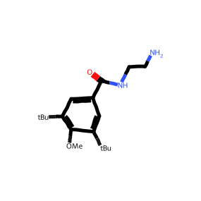 COc1c(C(C)(C)C)cc(C(=O)NCCN)cc1C(C)(C)C